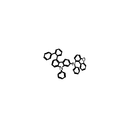 c1ccc(-c2ccccc2-c2cccc3c2c2ccc(N(c4ccccc4)c4cccc5oc6ccccc6c45)cc2n3-c2ccccc2)cc1